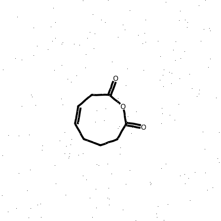 O=C1C/C=C\CCCC(=O)O1